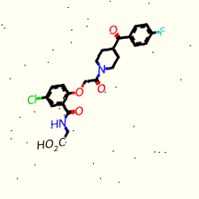 O=C(O)CNC(=O)c1cc(Cl)ccc1OCC(=O)N1CCC(C(=O)c2ccc(F)cc2)CC1